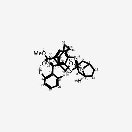 COC(=O)c1cc(F)c2nc(N3C4CC[C@H]3C[C@H](OCc3c(-c5c(F)cccc5F)noc3C3CC3)C4)sc2c1